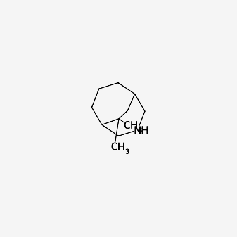 CC1(C)CC2CCCC1CNC2